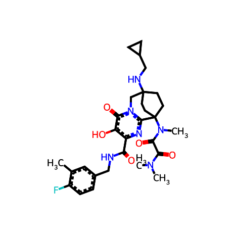 Cc1cc(CNC(=O)c2nc3n(c(=O)c2O)CC2(NCC4CC4)CCC3(N(C)C(=O)C(=O)N(C)C)CC2)ccc1F